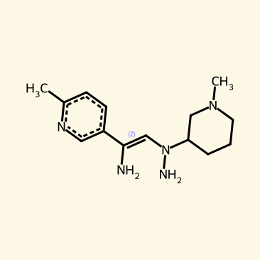 Cc1ccc(/C(N)=C/N(N)C2CCCN(C)C2)cn1